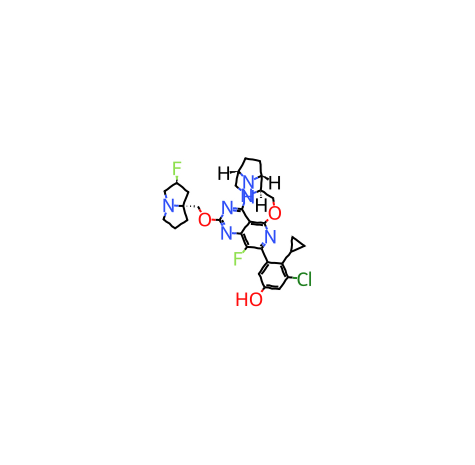 Oc1cc(Cl)c(C2CC2)c(-c2nc3c4c(nc(OC[C@]56CCCN5C[C@@H](F)C6)nc4c2F)N2C[C@@H]4CC[C@@H](N4)[C@H]2CO3)c1